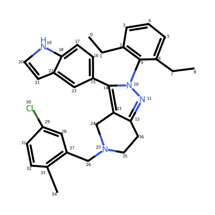 CCc1cccc(CC)c1-n1nc2c(c1-c1ccc3[nH]ccc3c1)CN(Cc1cc(Cl)ccc1C)CC2